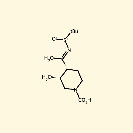 C/C(=N\[S+]([O-])C(C)(C)C)[C@@H]1CCN(C(=O)O)C[C@@H]1C